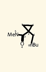 CCCCCC1(C(=O)NC)CC1